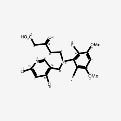 COc1cc(OC)c(F)c(N(CCC(=O)CC(=O)O)Cc2cnc(Cl)cc2Cl)c1F